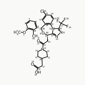 COc1cccc([C@H]2O[C@H](CC(=O)N3CCC(CC(=O)O)CC3)c3nnc(C(F)(F)F)n3-c3ccc(Cl)cc32)c1C